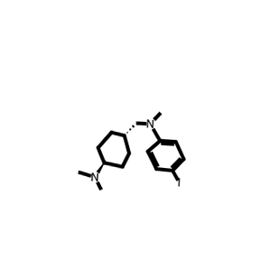 CN(C[C@H]1CC[C@H](N(C)C)CC1)c1ccc(I)cc1